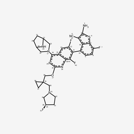 N#Cc1c(N)sc2c(F)ccc(-c3c(F)cc4c(N5CC6CCC(C5)N6)nc(OCC5(CN6CC[C@@H](F)C6)CC5)nc4c3F)c12